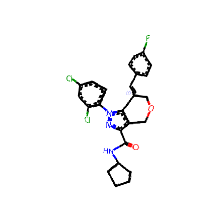 O=C(NC1CCCC1)c1nn(-c2ccc(Cl)cc2Cl)c2c1COC/C2=C\c1ccc(F)cc1